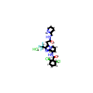 CN1CC=CC=C1CNC(=O)Cc1c(C(F)(F)F)nc2c(NC(=O)c3c(Cl)cccc3Cl)cccn12.Cl